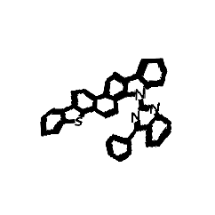 c1ccc(-c2nc(-n3c4ccccc4c4ccc5c6ccc7c8ccccc8sc7c6ccc5c43)nc3ccccc23)cc1